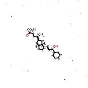 CC(CCC(=O)C(=O)O)=C1C[C@@H]2CC[C@H](/C=C/[C@H](O)C3CCCCC3)[C@H]2C1